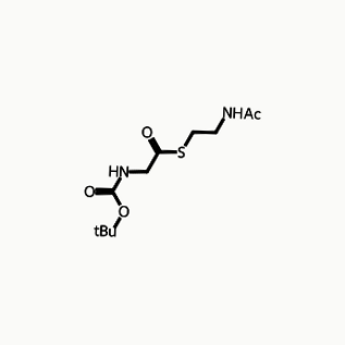 CC(=O)NCCSC(=O)CNC(=O)OC(C)(C)C